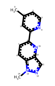 Cc1ccnc(-c2ccc3c(cnn3C)n2)c1